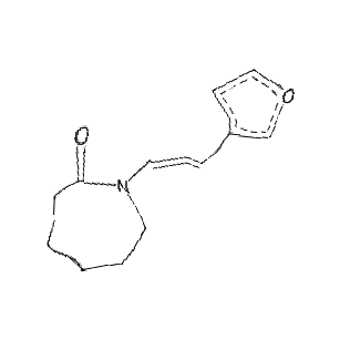 O=C1CCCCCN1C=Cc1ccoc1